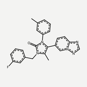 Cc1cccc(-n2c(-c3ccc4ncnn4c3)c(C)n(Cc3cccc(F)c3)c2=O)c1